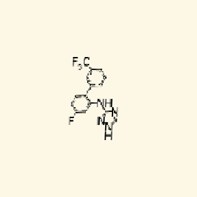 Fc1ccc(-c2cccc(C(F)(F)F)c2)c(Nc2nc[nH]n2)c1